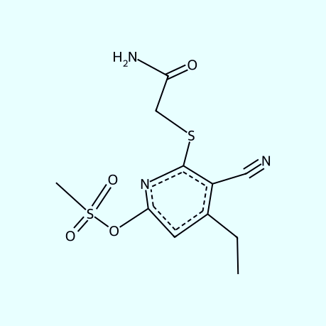 CCc1cc(OS(C)(=O)=O)nc(SCC(N)=O)c1C#N